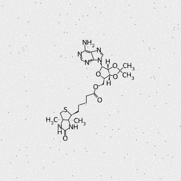 CC1(C)O[C@@H]2[C@H](O1)[C@@H](COC(=O)CCCC[C@@H]1SC[C@]3(C)NC(=O)N[C@]13C)O[C@H]2n1cnc2c(N)ncnc21